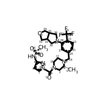 C[C@@H]1CN(C(=O)n2ccc(NS(C)(=O)=O)n2)CCN1Cc1ccc(C(F)(F)F)c(N2CC3COCC3C2)c1